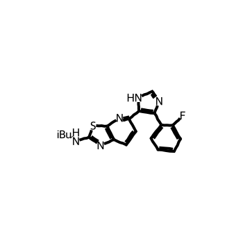 CCC(C)Nc1nc2ccc(-c3[nH]cnc3-c3ccccc3F)nc2s1